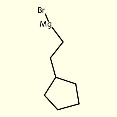 [Br][Mg][CH2]CC1CCCC1